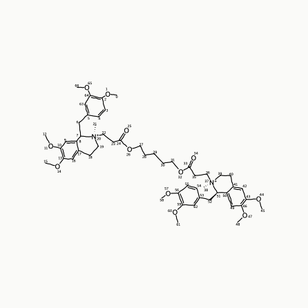 COc1ccc(CC2c3cc(OC)c(OC)cc3CC[N@+]2(C)CCC(=O)OCCCCCOC(=O)CC[N@@+]2(C)CCc3cc(OC)c(OC)cc3[C@H]2Cc2ccc(OC)c(OC)c2)cc1OC